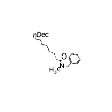 CCCCCCCCCCCCCCCCCC(=O)N(C)Cc1ccccc1